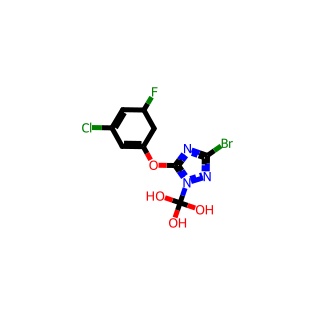 OC(O)(O)n1nc(Br)nc1OC1=CC(Cl)=CC(F)C1